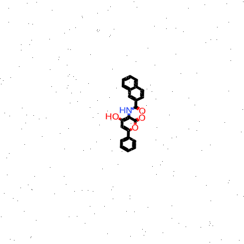 O=C(Nc1c(O)cc(-c2ccccc2)oc1=O)c1ccc2ccccc2c1